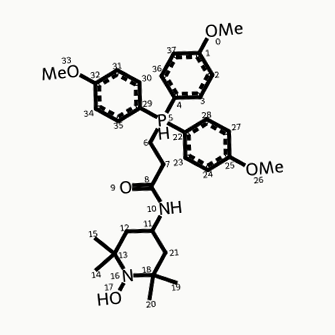 COc1ccc([PH](CCC(=O)NC2CC(C)(C)N(O)C(C)(C)C2)(c2ccc(OC)cc2)c2ccc(OC)cc2)cc1